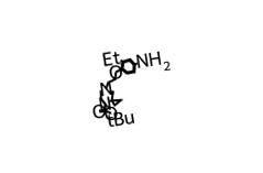 CCc1cc(N)ccc1OCCN1CCN(C(=O)OC(C)(C)C)C2(CC2)C1